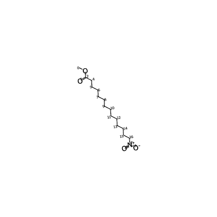 COC(=O)CCCCCCCCCCCCC[N+](=O)[O-]